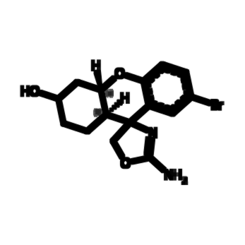 NC1=NC2(CO1)c1cc(Br)ccc1O[C@H]1CC(O)CC[C@@H]12